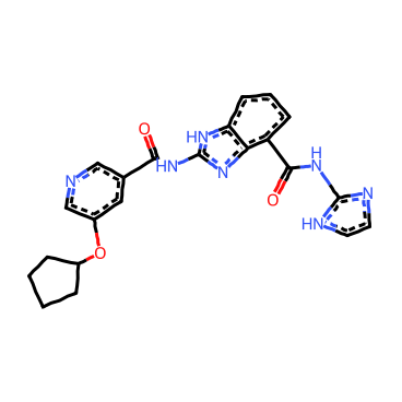 O=C(Nc1nc2c(C(=O)Nc3ncc[nH]3)cccc2[nH]1)c1cncc(OC2CCCC2)c1